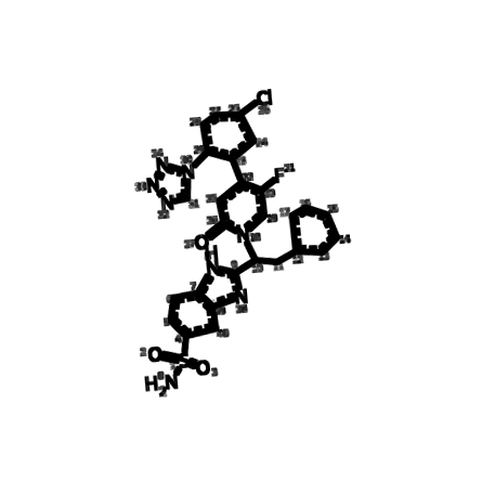 NS(=O)(=O)c1ccc2[nH]c(C(Cc3ccccc3)n3cc(F)c(-c4cc(Cl)ccc4-n4cnnn4)cc3=O)nc2c1